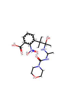 CC(NC(=O)N1CCOCC1)NC(C)(O)C(C)(C)c1cccc(C(=O)O)c1[N+](=O)[O-]